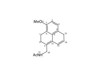 COc1ccc2c3c1CCC(CNC(C)=O)=C3C=CC2